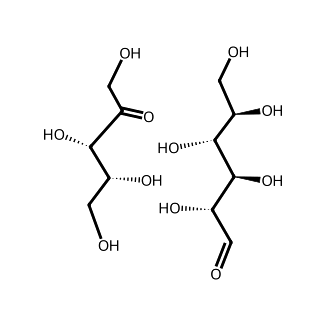 O=C(CO)[C@@H](O)[C@H](O)CO.O=C[C@H](O)[C@H](O)[C@H](O)[C@H](O)CO